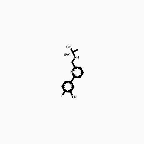 CC(C)[C@@](C)(O)NCc1cccc(-c2ccc(F)c(C#N)c2)n1